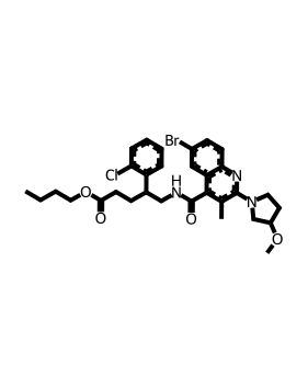 CCCCOC(=O)CCC(CNC(=O)c1c(C)c(N2CCC(OC)C2)nc2ccc(Br)cc12)c1ccccc1Cl